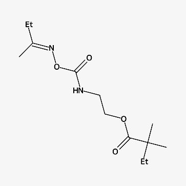 CCC(C)=NOC(=O)NCCOC(=O)C(C)(C)CC